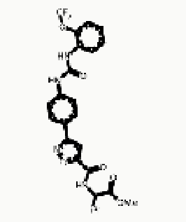 COC(=O)C(NC(=O)c1cc(-c2ccc(NC(=O)Nc3ccccc3OC(F)(F)F)cc2)no1)C(C)C